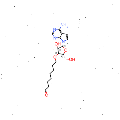 C[C@@]1(O)[C@H](OCCCCCCCC=O)[C@@H](CO)O[C@H]1n1ccc2c(N)ncnc21